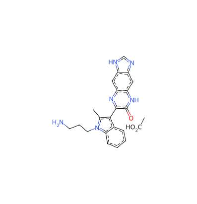 CC(=O)O.Cc1c(-c2nc3cc4[nH]cnc4cc3[nH]c2=O)c2ccccc2n1CCCN